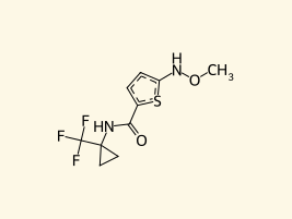 CONc1ccc(C(=O)NC2(C(F)(F)F)CC2)s1